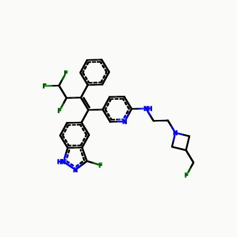 FCC1CN(CCNc2ccc(C(=C(c3ccccc3)C(F)C(F)F)c3ccc4[nH]nc(F)c4c3)cn2)C1